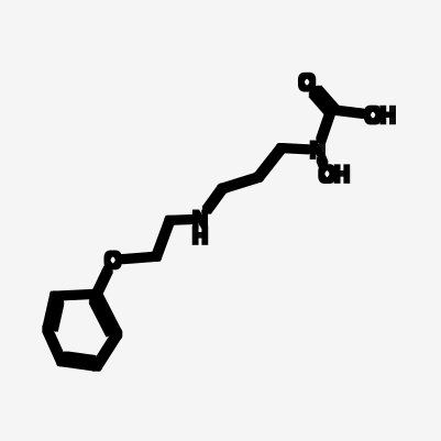 O=C(O)N(O)CCCNCCOc1ccccc1